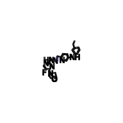 CCc1cccc(Nc2ccc(/C=N/Nc3ncc(F)c(N4CCOCC4)n3)nc2)c1